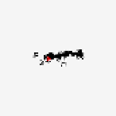 FC(F)(F)Oc1cccc(/C=C/c2nc(CNc3ccc(CCCCn4ccnn4)cc3)co2)c1